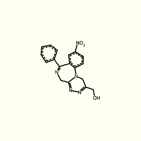 O=[N+]([O-])c1ccc2c(c1)C(c1ccccc1)=NCC1=NN=C(CO)CN12